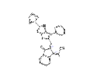 C/C(C#N)=C1/C(=C/c2cc3sc(-c4nccs4)nc3n2-c2ccccc2)C(=O)c2ccccc21